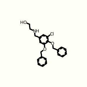 OCCNCc1cc(Cl)c(OCc2ccccc2)c(OCc2ccccc2)c1